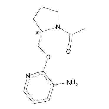 CC(=O)N1CCC[C@H]1COc1ncccc1N